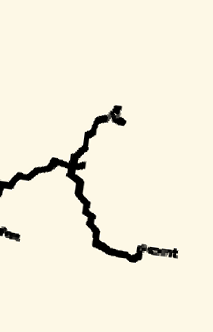 CCCCC/C=C\C/C=C\CCCCCCCCC(C)(CCCCCCCC/C=C\C/C=C\CCCCC)CCCCCN(C)C